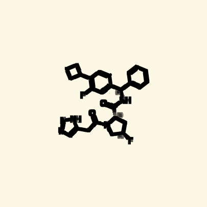 O=C(N[C@H](c1ccccc1)c1ccc(C2CCC2)c(F)c1)[C@@H]1C[C@@H](F)CN1C(=O)Cc1cnn[nH]1